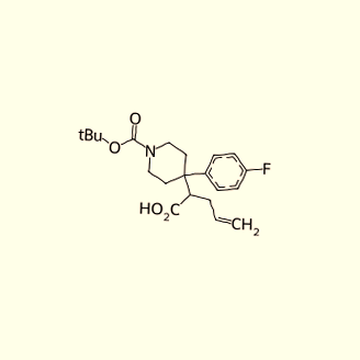 C=CCC(C(=O)O)C1(c2ccc(F)cc2)CCN(C(=O)OC(C)(C)C)CC1